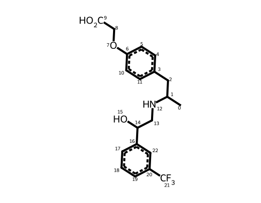 CC(Cc1ccc(OCC(=O)O)cc1)NCC(O)c1cccc(C(F)(F)F)c1